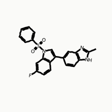 Cc1nc2cc(-c3cn(S(=O)(=O)c4ccccc4)c4cc(F)ccc34)ccc2[nH]1